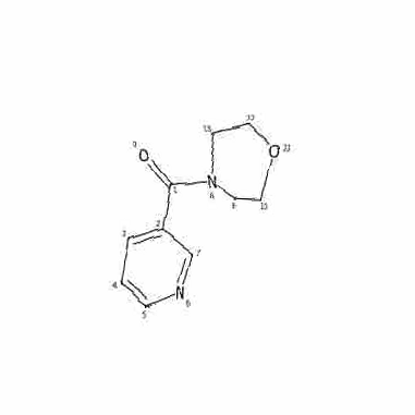 O=C(c1cc[c]nc1)N1CCOCC1